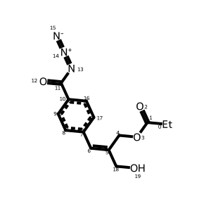 CCC(=O)OC/C(=C\c1ccc(C(=O)N=[N+]=[N-])cc1)CO